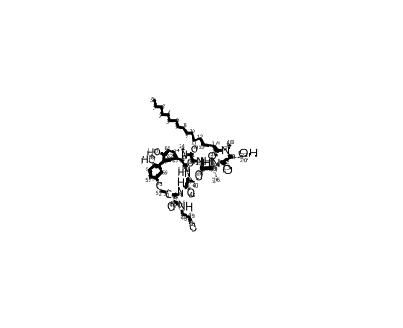 CCCCCCCCCCCCCCCC(=O)N(C)[C@H](CO)C(=O)N[C@H](C)C(=O)NCC(=O)N(C)[C@@H]1C(=O)N[C@@H](C)C(=O)N[C@H](C(=O)NCC=O)CCCc2ccc(O)c(c2)-c2cc1ccc2O